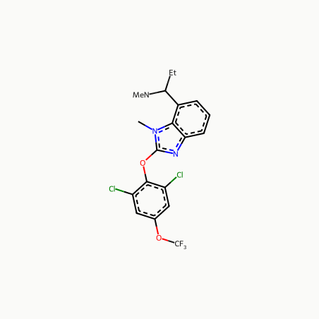 CCC(NC)c1cccc2nc(Oc3c(Cl)cc(OC(F)(F)F)cc3Cl)n(C)c12